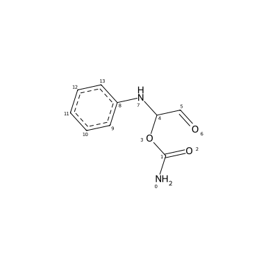 NC(=O)OC(C=O)Nc1ccccc1